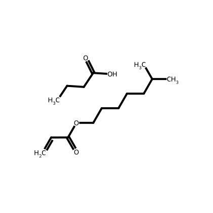 C=CC(=O)OCCCCCC(C)C.CCCC(=O)O